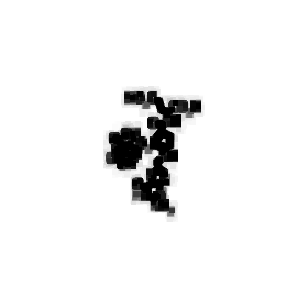 NCC(=O)O.Nc1nc2ncc(CNc3ccc(C(=O)NC(CCC(=O)O)C(=O)O)cc3)nc2c(=O)[nH]1.O=P(O)(O)OP(=O)(O)O